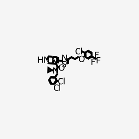 O=C(C1=C(c2nc(CCCOc3cc(C(F)(F)F)ccc3Cl)cs2)CC2CNCC1N2)N(Cc1cccc(Cl)c1Cl)C1CC1